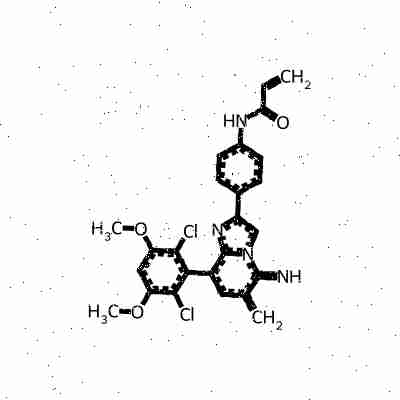 C=CC(=O)Nc1ccc(-c2cn3c(=N)c(=C)cc(-c4c(Cl)c(OC)cc(OC)c4Cl)c3n2)cc1